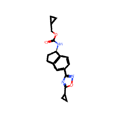 O=C(N[C@@H]1CCc2cc(-c3noc(C4CC4)n3)ccc21)OCC1CC1